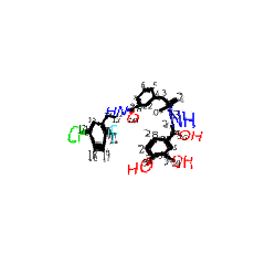 CC(C)(Cc1cccc(C(=O)NCCc2cc(Cl)ccc2F)c1)NC[C@@H](O)c1ccc(O)c(CO)c1